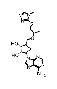 C[C@H](CSc1nncn1C)OC[C@H]1O[C@@H](n2cnc3c(N)ncnc32)[C@H](O)[C@@H]1O